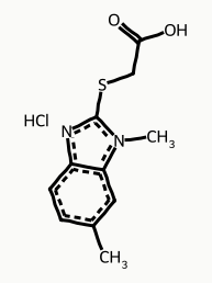 Cc1ccc2nc(SCC(=O)O)n(C)c2c1.Cl